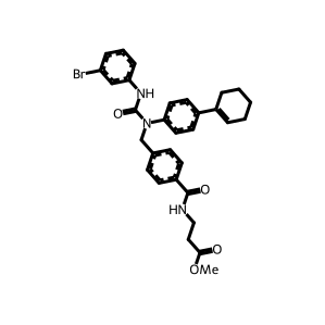 COC(=O)CCNC(=O)c1ccc(CN(C(=O)Nc2cccc(Br)c2)c2ccc(C3=CCCCC3)cc2)cc1